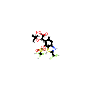 Cc1cc2nc(C(F)F)sc2c(OS(=O)(=O)C(F)(F)F)c1[C@H](OC(C)(C)C)C(=O)O